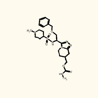 CNC(=O)OCC1CCn2c(nnc2C(COCc2ccccc2)NS(=O)(=O)C2CCN(C)CC2)C1